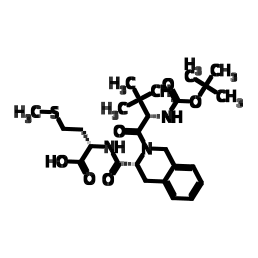 CSCC[C@H](NC(=O)[C@H]1Cc2ccccc2CN1C(=O)[C@@H](NC(=O)OC(C)(C)C)C(C)(C)C)C(=O)O